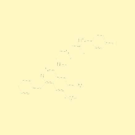 COc1cc2c(Cc3ccccc3)nnc(N3CCN(CC(=O)Nc4ccc(Cl)cc4)CC3)c2cc1OC